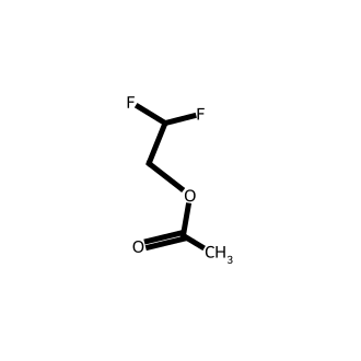 CC(=O)OCC(F)F